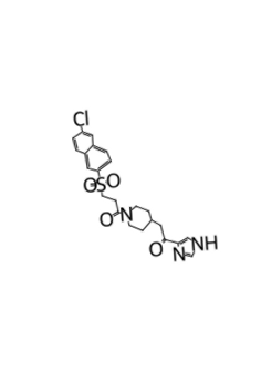 O=C(CC1CCN(C(=O)CCS(=O)(=O)c2ccc3cc(Cl)ccc3c2)CC1)c1c[nH]cn1